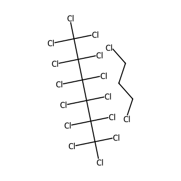 ClC(Cl)(Cl)C(Cl)(Cl)C(Cl)(Cl)C(Cl)(Cl)C(Cl)(Cl)C(Cl)(Cl)Cl.ClCCCCl